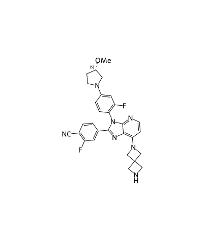 CO[C@H]1CCN(c2ccc(-n3c(-c4ccc(C#N)c(F)c4)nc4c(N5CC6(CNC6)C5)ccnc43)c(F)c2)C1